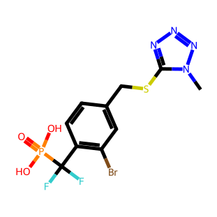 Cn1nnnc1SCc1ccc(C(F)(F)P(=O)(O)O)c(Br)c1